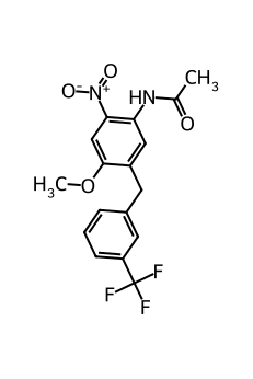 COc1cc([N+](=O)[O-])c(NC(C)=O)cc1Cc1cccc(C(F)(F)F)c1